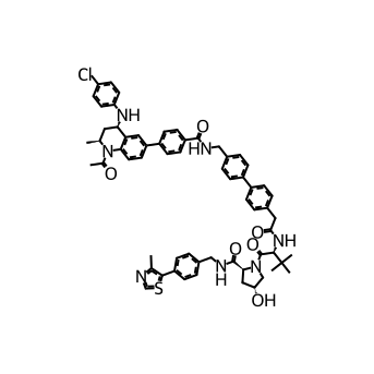 CC(=O)N1c2ccc(-c3ccc(C(=O)NCc4ccc(-c5ccc(CC(=O)N[C@H](C(=O)N6C[C@H](O)C[C@H]6C(=O)NCc6ccc(-c7scnc7C)cc6)C(C)(C)C)cc5)cc4)cc3)cc2[C@H](Nc2ccc(Cl)cc2)C[C@@H]1C